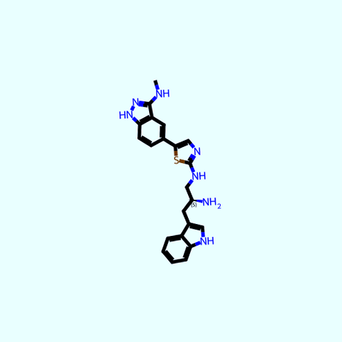 CNc1n[nH]c2ccc(-c3cnc(NC[C@@H](N)Cc4c[nH]c5ccccc45)s3)cc12